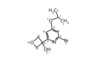 CC(C)Oc1cc(Br)nc(C2(O)COC2)c1